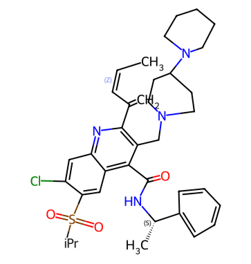 C=C(/C=C\C)c1nc2cc(Cl)c(S(=O)(=O)C(C)C)cc2c(C(=O)N[C@@H](C)c2ccccc2)c1CN1CCC(N2CCCCC2)CC1